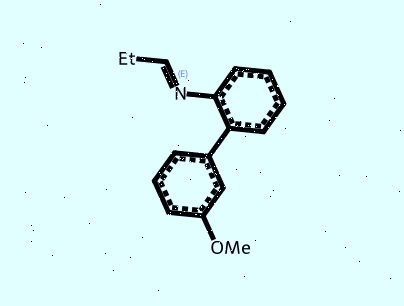 CC/C=N/c1ccccc1-c1cccc(OC)c1